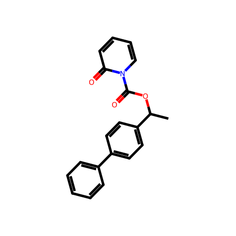 CC(OC(=O)n1ccccc1=O)c1ccc(-c2ccccc2)cc1